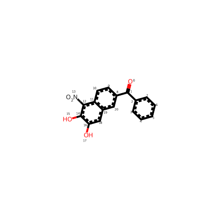 O=C(c1ccccc1)c1ccc2c([N+](=O)[O-])c(O)c(O)cc2c1